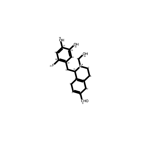 O=CC1=CCC2=C(CCN(CO)C2Cc2cc(O)c(O)cc2F)C1